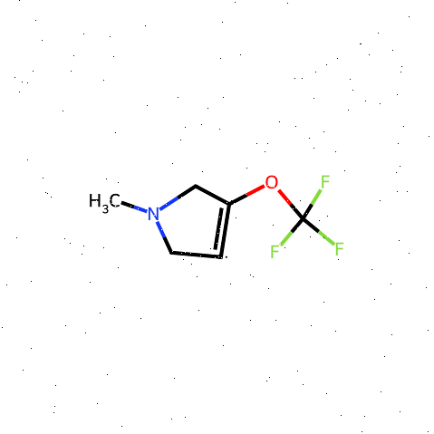 CN1C[C]=C(OC(F)(F)F)C1